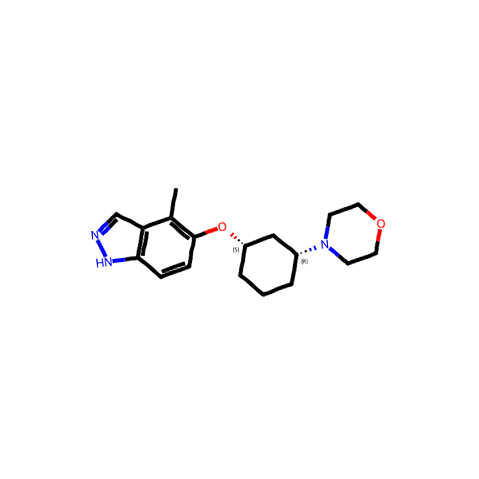 Cc1c(O[C@H]2CCC[C@@H](N3CCOCC3)C2)ccc2[nH]ncc12